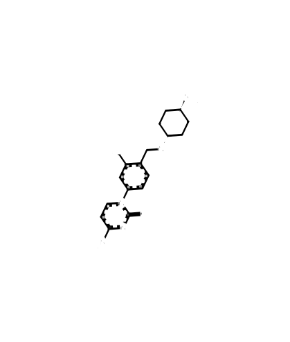 Nc1ccn(-c2ccc(CN[C@H]3CC[C@H](N)CC3)c(Cl)c2)c(=O)n1